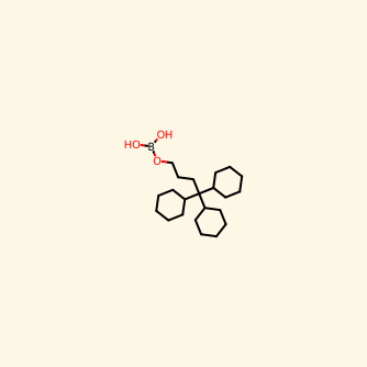 OB(O)OCCCC(C1CCCCC1)(C1CCCCC1)C1CCCCC1